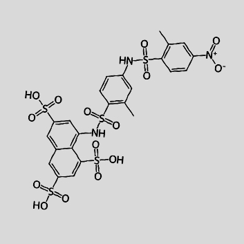 Cc1cc([N+](=O)[O-])ccc1S(=O)(=O)Nc1ccc(S(=O)(=O)Nc2cc(S(=O)(=O)O)cc3cc(S(=O)(=O)O)cc(S(=O)(=O)O)c23)c(C)c1